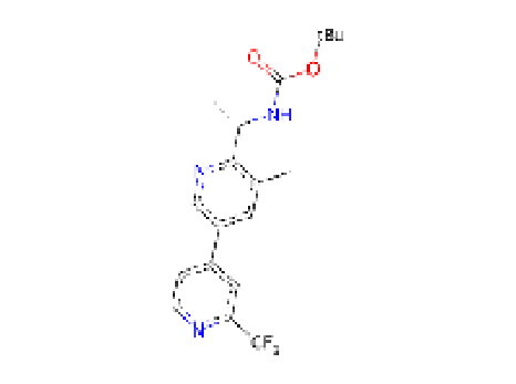 Cc1cc(-c2ccnc(C(F)(F)F)c2)cnc1[C@H](C)NC(=O)OC(C)(C)C